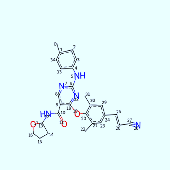 Cc1ccc(Nc2ncc(C(=O)NC3CCCO3)c(Oc3c(C)cc(/C=C/C#N)cc3C)n2)cc1